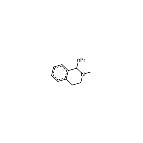 CCCC1c2ccccc2CCN1C